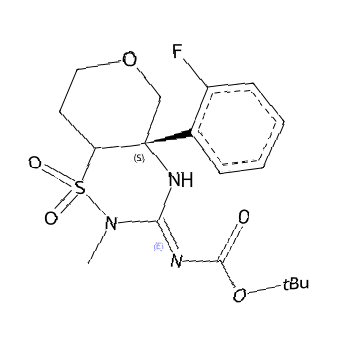 CN1/C(=N/C(=O)OC(C)(C)C)N[C@@]2(c3ccccc3F)COCCC2S1(=O)=O